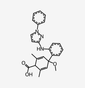 COC1(c2ccccc2Nc2ccn(-c3ccccc3)n2)C=C(C)C(C(=O)O)C(C)=C1